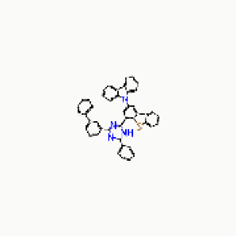 c1ccc(-c2cccc(C3=NC(c4ccccc4)NC(c4cc(-n5c6ccccc6c6ccccc65)cc5c4sc4ccccc45)=N3)c2)cc1